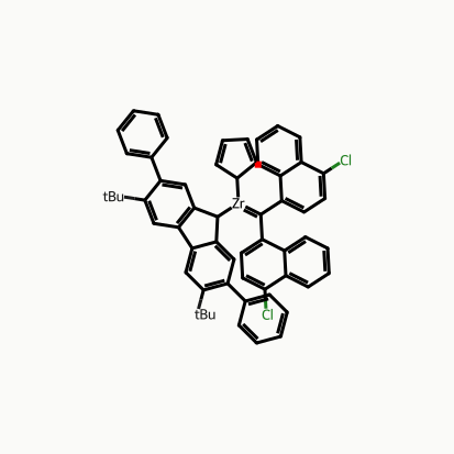 CC(C)(C)c1cc2c(cc1-c1ccccc1)[CH]([Zr](=[C](c1ccc(Cl)c3ccccc13)c1ccc(Cl)c3ccccc13)[CH]1C=CC=C1)c1cc(-c3ccccc3)c(C(C)(C)C)cc1-2